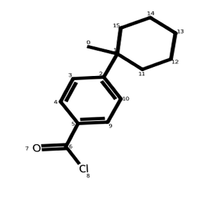 CC1(c2ccc(C(=O)Cl)cc2)CCCCC1